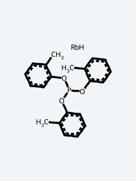 Cc1ccccc1OP(Oc1ccccc1C)Oc1ccccc1C.[RbH]